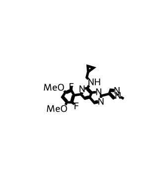 COc1cc(OC)c(F)c(-c2cc3cnc(-c4cnn(C)c4)nc3c(NCC3CC3)n2)c1F